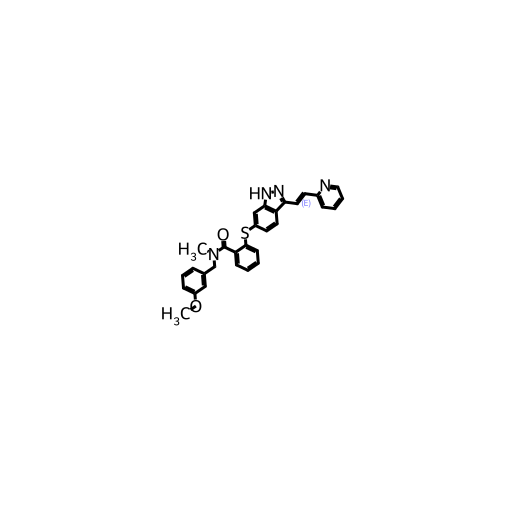 COc1cccc(CN(C)C(=O)c2ccccc2Sc2ccc3c(/C=C/c4ccccn4)n[nH]c3c2)c1